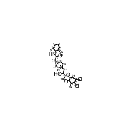 Cc1cccc(C)c1NC(=O)CN1CCN(CC(O)C2COc3c(cc(Cl)c(Cl)c3C)O2)CC1